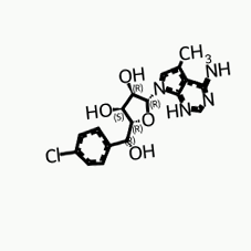 Cc1cn([C@@H]2O[C@H]([C@H](O)c3ccc(Cl)cc3)[C@@H](O)[C@H]2O)c2[nH]cnc(=N)c12